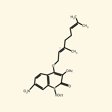 CCCCCCCCn1c(=O)c(OC(C)=O)c(OC/C=C(\C)CCC=C(C)C)c2ccc([N+](=O)[O-])cc21